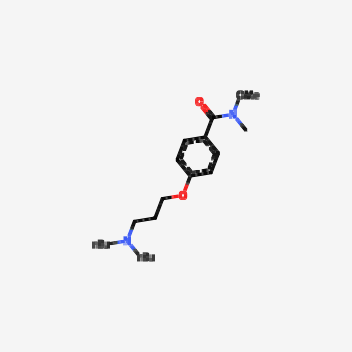 CCCCN(CCCC)CCCOc1ccc(C(=O)N(C)OC)cc1